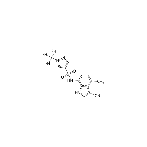 [2H]C([2H])([2H])n1cc(S(=O)(=O)Nc2ccc(C)c3c(C#N)c[nH]c23)cn1